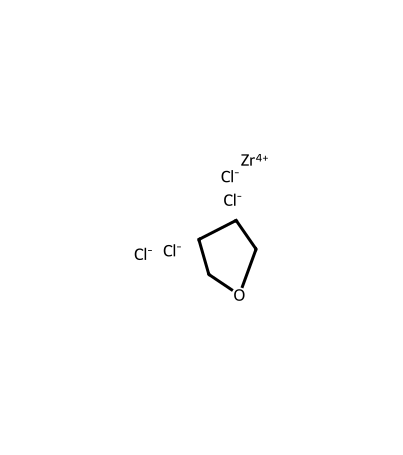 C1CCOC1.[Cl-].[Cl-].[Cl-].[Cl-].[Zr+4]